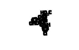 CN(C=O)N(C(=O)C1CCCCC1)c1c(C(=O)Nc2ccc(Cl)cn2)oc2ccc(C(=O)O)cc12